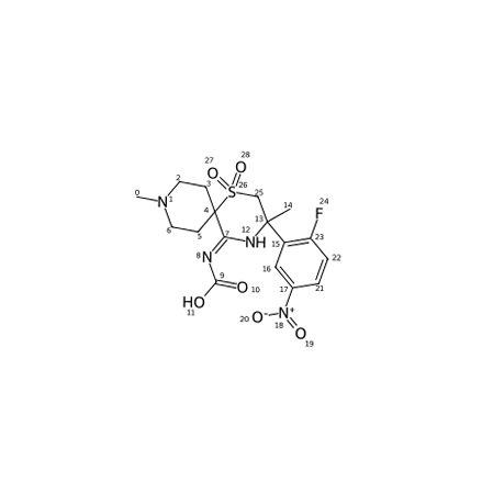 CN1CCC2(CC1)/C(=N/C(=O)O)NC(C)(c1cc([N+](=O)[O-])ccc1F)CS2(=O)=O